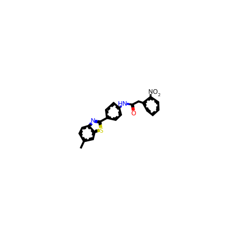 Cc1ccc2nc(-c3ccc(NC(=O)Cc4ccccc4[N+](=O)[O-])cc3)sc2c1